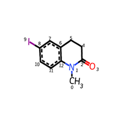 CN1C(=O)CCc2cc(I)ccc21